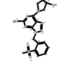 CC(C)(C)c1nc(N2CC[C@@](C)(O)C2)c2nnn(Cc3ccccc3S(C)(=O)=O)c2n1